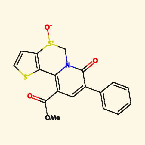 COC(=O)c1cc(-c2ccccc2)c(=O)n2c1-c1sccc1[S+]([O-])C2